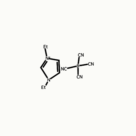 CCn1cc[n+](CC)c1.N#C[B-](C#N)(C#N)C#N